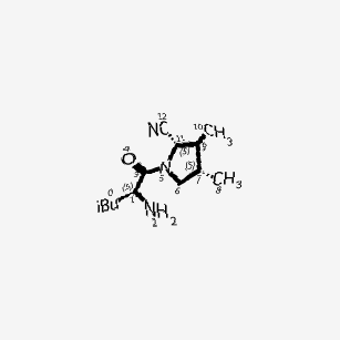 CCC(C)[C@H](N)C(=O)N1C[C@@H](C)C(C)[C@H]1C#N